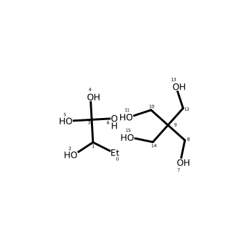 CCC(O)C(O)(O)O.OCC(CO)(CO)CO